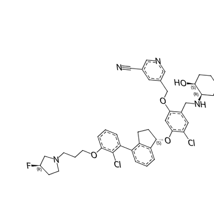 N#Cc1cncc(COc2cc(O[C@H]3CCc4c(-c5cccc(OCCCN6CC[C@@H](F)C6)c5Cl)cccc43)c(Cl)cc2CN[C@@H]2CCCC[C@@H]2O)c1